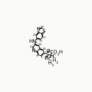 CC(C)(C(=O)O)S(=O)(=O)c1ccc2ncc(Nc3ccc4scnc4c3)cc2c1